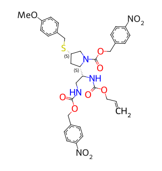 C=CCOC(=O)NC(CNC(=O)OCc1ccc([N+](=O)[O-])cc1)[C@@H]1C[C@H](SCc2ccc(OC)cc2)CN1C(=O)OCc1ccc([N+](=O)[O-])cc1